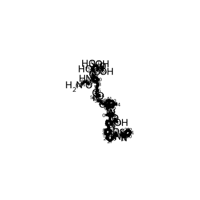 Cc1c(-c2ccc(-c3ccc4c(c3)N(C(=O)Nc3nc5ccccc5s3)CCC4)nc2C(=O)O)cnn1CC12CC3(C)CC(C)(C1)CC(OCCN(C)C(=O)OCC=Cc1ccc(O[C@@H]4O[C@H](C(=O)O)[C@@H](O)[C@H](O)[C@H]4O)c(NC(=O)CCN)c1)(C3)C2